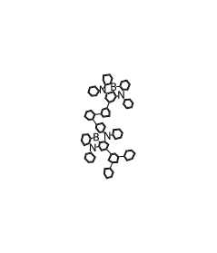 c1ccc(-c2cc(-c3ccccc3)cc(-c3cc4c5c(c3)N(c3ccccc3)c3ccc(-c6ccccc6-c6cccc(-c7cc8c9c(c7)N(c7ccccc7)c7ccccc7B9c7ccccc7N8c7ccccc7)c6)cc3B5c3ccccc3N4c3ccccc3)c2)cc1